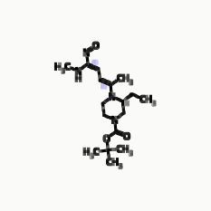 CC[C@H]1CN(C(=O)OC(C)(C)C)CCN1/C(C)=C/C=C(/N=O)NC